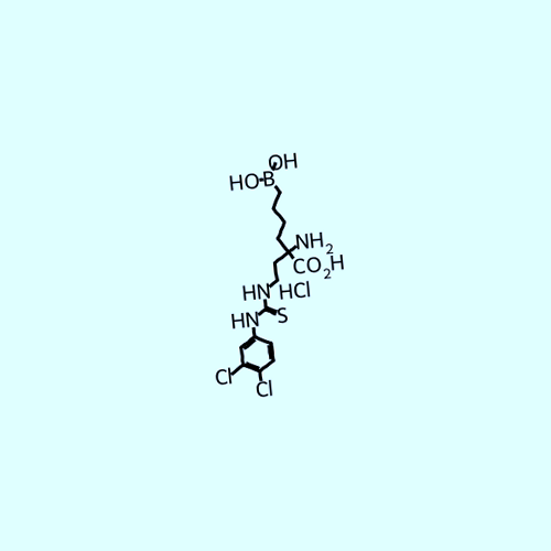 Cl.NC(CCCCB(O)O)(CCNC(=S)Nc1ccc(Cl)c(Cl)c1)C(=O)O